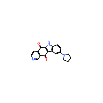 O=C1c2ccncc2C(=O)c2c1[nH]c1ccc(N3CCCC3)cc21